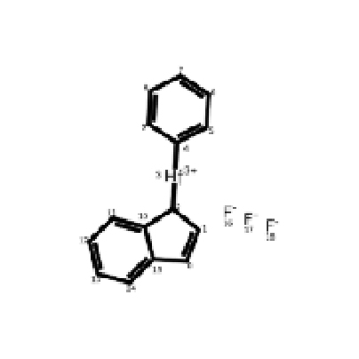 C1=C[CH]([Hf+3][c]2ccccc2)c2ccccc21.[F-].[F-].[F-]